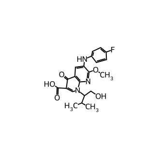 COc1nc2c(cc1Nc1ccc(F)cc1)c(=O)c(C(=O)O)cn2C(CO)C(C)C